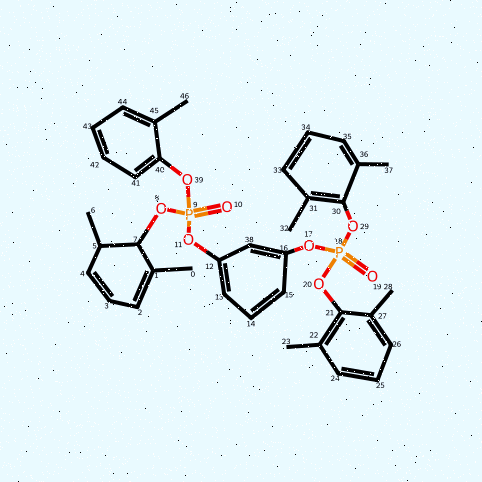 CC1=CC=CC(C)C1OP(=O)(Oc1cccc(OP(=O)(Oc2c(C)cccc2C)Oc2c(C)cccc2C)c1)Oc1ccccc1C